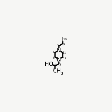 CC(O)CN1CCN(CCI)CC1